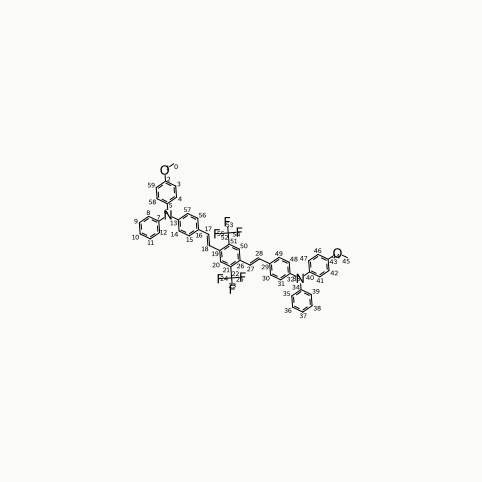 COc1ccc(N(c2ccccc2)c2ccc(C=Cc3cc(C(F)(F)F)c(C=Cc4ccc(N(c5ccccc5)c5ccc(OC)cc5)cc4)cc3C(F)(F)F)cc2)cc1